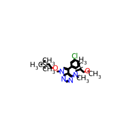 COCC(C)CN(C)c1ncnc2c1c(-c1cccc(Cl)c1)cn2COCC[Si](C)(C)C